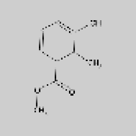 COC(=O)C1C=CC=C(O)C1C